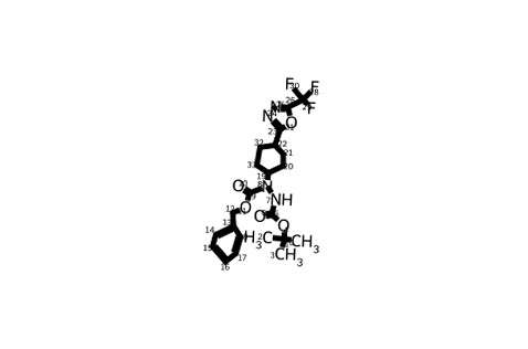 CC(C)(C)OC(=O)NN(C(=O)OCc1ccccc1)C1CCC(c2nnc(C(F)(F)F)o2)CC1